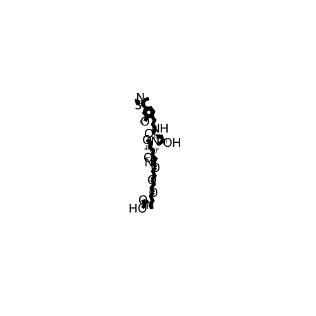 COc1cc(-c2scnc2C)ccc1CCNC(=O)[C@@H]1C[C@@H](O)CN1C(=O)[C@@H](C)[C@H](C)c1cc(OCCOCCOCCN(C)C(=O)O)no1